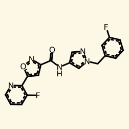 O=C(Nc1cnn(Cc2cccc(F)c2)c1)c1cc(-c2ncccc2F)on1